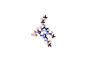 CC(C)(C)OC(=O)NCc1cnn(C[C@@H]2[C@H](NC(=O)/C(=N\OC(C)(C)C(=O)OC(C)(C)C)c3csc(NC(=O)OC(C)(C)C)n3)C(=O)N2S(=O)(=O)O)n1